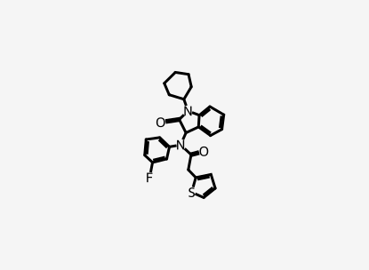 O=C1C(N(C(=O)Cc2cccs2)c2cccc(F)c2)c2ccccc2N1C1CCCCC1